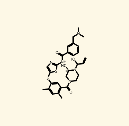 C=CC(O)N1CCN(C(=O)c2cc(Sc3cnc(NC(=O)c4cccc(CN(C)C)c4)s3)c(C)cc2C)C[C@H]1C#N